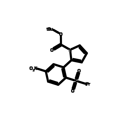 CC(C)S(=O)(=O)c1ccc([N+](=O)[O-])cc1-c1cccn1C(=O)OC(C)(C)C